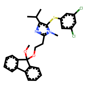 COC1(OCCc2nc(C(C)C)c(Sc3cc(Cl)cc(Cl)c3)n2C)c2ccccc2-c2ccccc21